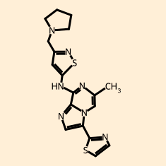 Cc1cn2c(-c3nccs3)cnc2c(Nc2cc(CN3CCCC3)ns2)n1